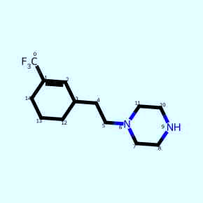 FC(F)(F)C1=CC(CCN2CCNCC2)CCC1